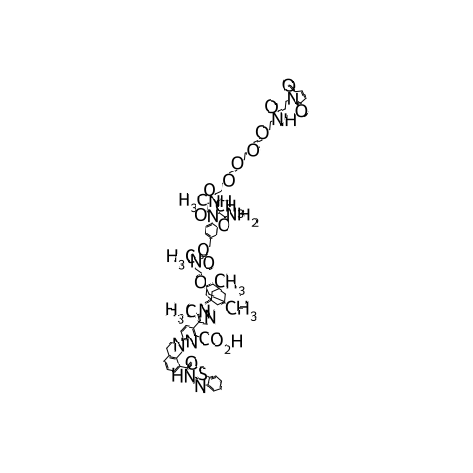 Cc1c(-c2ccc(N3CCc4cccc(C(=O)Nc5nc6ccccc6s5)c4C3)nc2C(=O)O)cnn1CC12CC3(C)CC(C)(C1)CC(OCCN(C)C(=O)OCc1ccc(N(C(=O)[C@H](C)NC(=O)CCOCCOCCOCCOCCNC(=O)CCN4C(=O)C=CC4=O)[C@@H](C)C(N)=O)cc1)(C3)C2